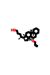 C=CCO[C@@H]1CC2CCCC[C@]2(C)[C@H]2CC[C@]3(C)[C@@H]([C@H](C)CCCO)CC[C@H]3C12